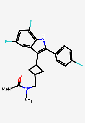 CNC(=O)N(C)CC1CC(c2c(-c3ccc(F)cc3)[nH]c3c(F)cc(F)cc23)C1